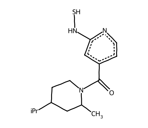 CC(C)C1CCN(C(=O)c2ccnc(NS)c2)C(C)C1